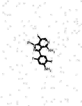 CC(C)n1nc(-c2cc(F)c(N)cc2F)c2c(N)ncc(I)c21